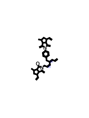 C=C/C=C(\C=C/CN1C(=C)C2C(C=C)CC(C)C2C1=O)Cc1ccc(N2C(=C)C3C(C)CC(C=C)C3C2=C)cc1